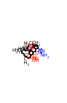 COC(=O)/C(C)=C\CC12OC(C)(C)C3CC(C1=O)C(n1cnc(N)n1)C1C(=O)c4c(OP(=O)(O)O)c5c(c(CC=C(C)C)c4OC132)OC(C)(CCC=C(C)C)C=C5